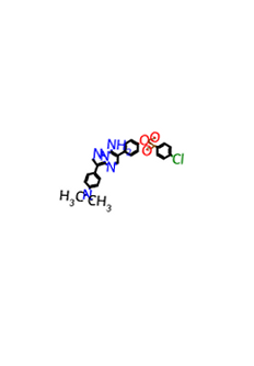 CN(C)c1ccc(-c2cnn3c(N)c(-c4ccc(OS(=O)(=O)c5ccc(Cl)cc5)cc4)cnc23)cc1